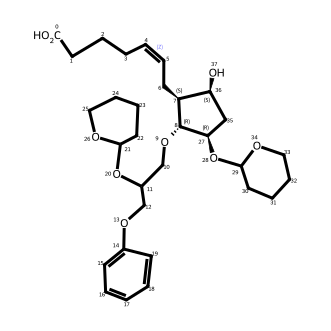 O=C(O)CCC/C=C\C[C@@H]1[C@@H](OCC(COc2ccccc2)OC2CCCCO2)[C@H](OC2CCCCO2)C[C@@H]1O